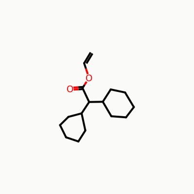 C=COC(=O)C(C1CCCCC1)C1CCCCC1